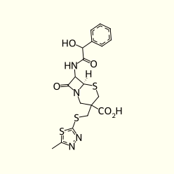 Cc1nnc(SCC2(C(=O)O)CS[C@@H]3C(NC(=O)C(O)c4ccccc4)C(=O)N3C2)s1